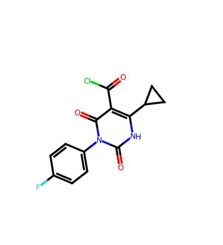 O=C(Cl)c1c(C2CC2)[nH]c(=O)n(-c2ccc(F)cc2)c1=O